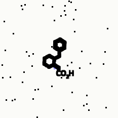 O=C(O)/C=C1\CCCCC1Cc1ccccc1